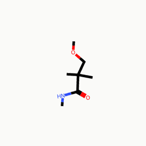 CNC(=O)C(C)(C)COC